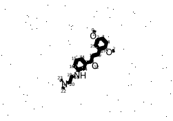 COc1ccc(OC)c(C=CC(=O)c2cccc(NCCN(C)C)c2)c1